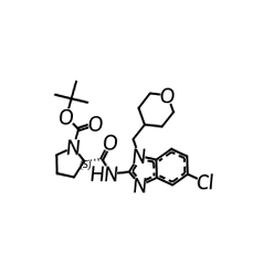 CC(C)(C)OC(=O)N1CCC[C@H]1C(=O)Nc1nc2cc(Cl)ccc2n1CC1CCOCC1